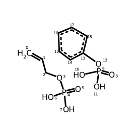 C=CCOP(=O)(O)O.O=P(O)(O)Oc1ccccc1